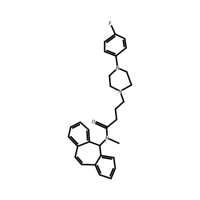 CN(C(=O)CCCN1CCN(c2ccc(F)cc2)CC1)C1c2ccccc2C=Cc2ccccc21